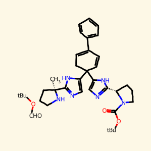 CC(C)(C)OC(=O)N1CCC[C@H]1c1ncc(C2(c3cnc([C@]4(C)CCCN4)[nH]3)C=CC(c3ccccc3)=CC2)[nH]1.CC(C)(C)OC=O